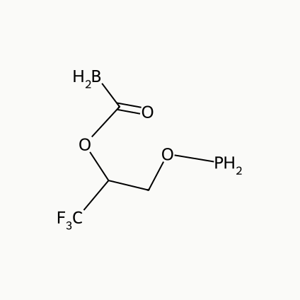 BC(=O)OC(COP)C(F)(F)F